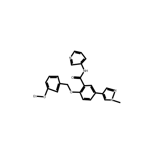 CCOc1cccc(COc2ccc(-c3cnn(C)c3)cc2C(=O)Nc2cccnc2)c1